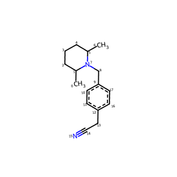 CC1CCCC(C)N1Cc1ccc(CC#N)cc1